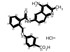 Cc1cc(N)c2cc(NC(=O)c3ccccc3COc3ccc(C(=O)O)cc3)ccc2n1.Cl